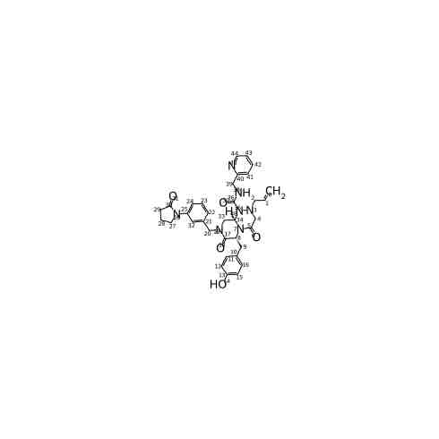 C=CCN1CC(=O)N2[C@@H](Cc3ccc(O)cc3)C(=O)N(Cc3cccc(N4CCCC4=O)c3)C[C@@H]2N1C(=O)NCc1ccccn1